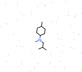 CC(C)CN(C)C1CCC(C)CC1